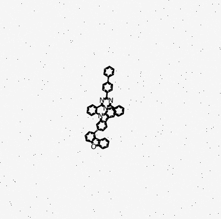 c1ccc(-c2ccc(-c3nc(-c4ccccc4)nc(-c4ccccc4-n4c5ccccc5c5ccc(-c6cccc7oc8ccccc8c67)cc54)n3)cc2)cc1